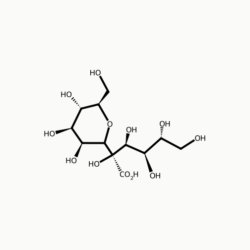 O=C(O)[C@](O)(C1O[C@H](CO)[C@@H](O)[C@H](O)[C@@H]1O)[C@@H](O)[C@H](O)[C@H](O)CO